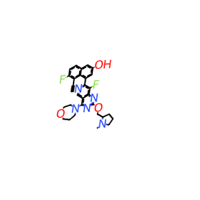 C#Cc1c(F)ccc2cc(O)cc(-c3ncc4c(N5CCCOCC5)nc(OCC5CCCN5C)nc4c3F)c12